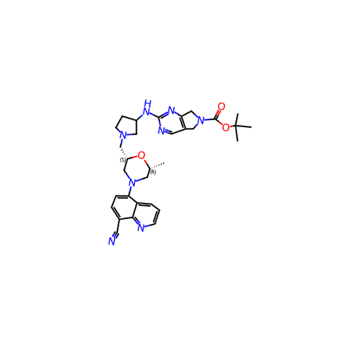 C[C@@H]1CN(c2ccc(C#N)c3ncccc23)C[C@H](CN2CCC(Nc3ncc4c(n3)CN(C(=O)OC(C)(C)C)C4)C2)O1